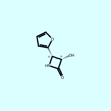 O=C1N[C@H](c2ccco2)[C@@H]1O